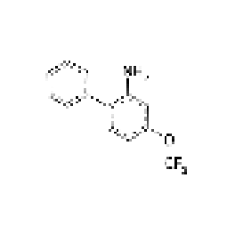 Nc1cc(OC(F)(F)F)ccc1-c1ccccc1